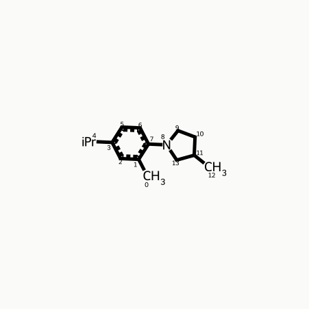 Cc1cc(C(C)C)ccc1N1CCC(C)C1